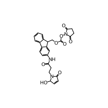 O=C(CCN1C(=O)C=CC1O)Nc1ccc2c(c1)C(COC(=O)ON1C(=O)CCC1=O)c1ccccc1-2